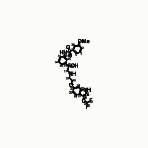 COc1cccc(S(=O)(=O)Nc2cccc(C(O)CNCCOc3ccc4c(OC(F)F)n[nH]c4c3)c2)c1